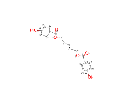 O=C(OCCCCCOC(=O)c1ccc(O)cc1)c1ccc(O)cc1